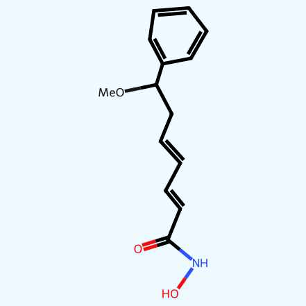 COC(CC=CC=CC(=O)NO)c1ccccc1